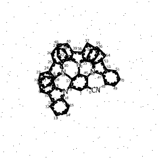 N#Cc1cc(-n2c3ccccc3c3ccccc32)c(-n2c3ccccc3c3ccccc32)c(-n2c3ccccc3c3ccccc32)c1-n1c2ccccc2c2ccccc21